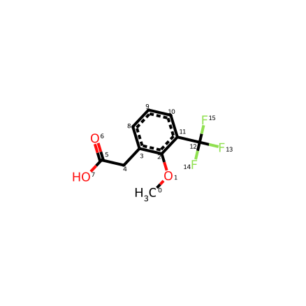 COc1c(CC(=O)O)cccc1C(F)(F)F